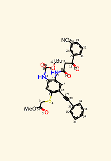 COC(=O)CSc1cc(NC(=O)OC(C)(C)C)c(NC(=O)CC(=O)c2cccc(C#N)c2)cc1C#Cc1ccccc1